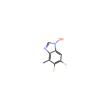 Cc1c(F)c(F)cc2c1n[c]n2O